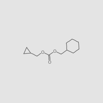 O=C(OCC1CCCCC1)OCC1CC1